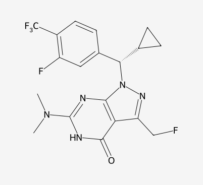 CN(C)c1nc2c(c(CF)nn2[C@H](c2ccc(C(F)(F)F)c(F)c2)C2CC2)c(=O)[nH]1